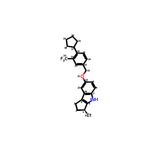 CC[C@H]1CCc2c1[nH]c1ccc(OCc3ccc(C4CCCC4)c(C(F)(F)F)c3)cc21